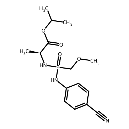 COCP(=O)(Nc1ccc(C#N)cc1)N[C@@H](C)C(=O)OC(C)C